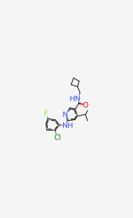 CC(C)c1cc(Nc2cc(F)ccc2Cl)ncc1C(=O)NCC1CCC1